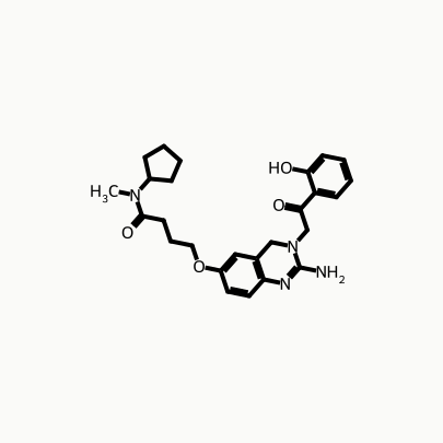 CN(C(=O)CCCOc1ccc2c(c1)CN(CC(=O)c1ccccc1O)C(N)=N2)C1CCCC1